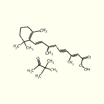 CC(=O)C(C)(C)C.CC1=C(/C=C/C(C)=C/C=C/C(C)=C/C(=O)OO)C(C)(C)CCC1